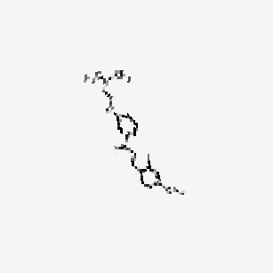 COc1ccc(C=CC(=O)c2cccc(OCCN(C)C)c2)c(F)c1